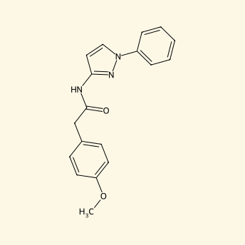 COc1ccc(CC(=O)Nc2ccn(-c3ccccc3)n2)cc1